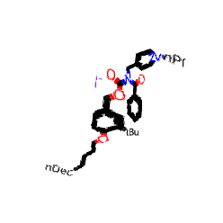 CCCCCCCCCCCCCCOc1ccc(COC(=O)N(Cc2cc[n+](CCC)cc2)C(=O)c2ccccc2)cc1C(C)(C)C.[I-]